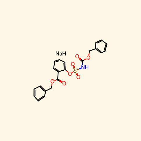 O=C(NS(=O)(=O)Oc1ccccc1C(=O)OCc1ccccc1)OCc1ccccc1.[NaH]